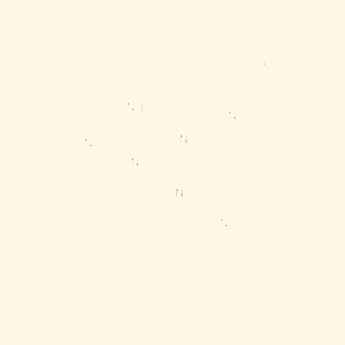 Nc1nc2ccccc2n1-c1nc(N2CCOCC2)cc(N2CCOCC2)n1